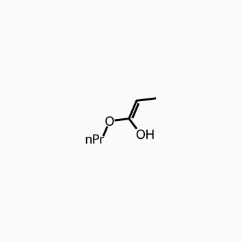 CC=C(O)OCCC